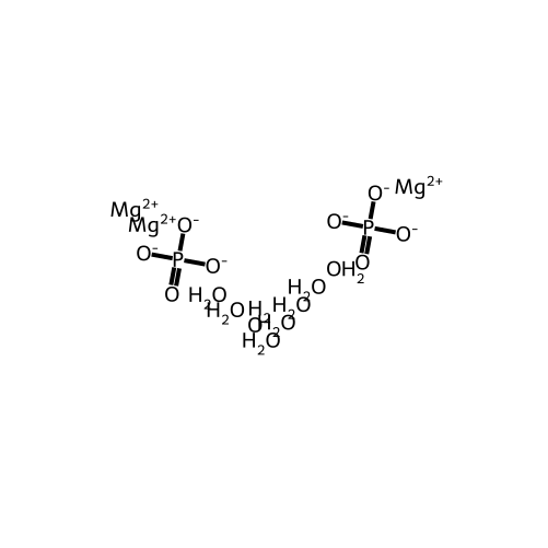 O.O.O.O.O.O.O.O.O=P([O-])([O-])[O-].O=P([O-])([O-])[O-].[Mg+2].[Mg+2].[Mg+2]